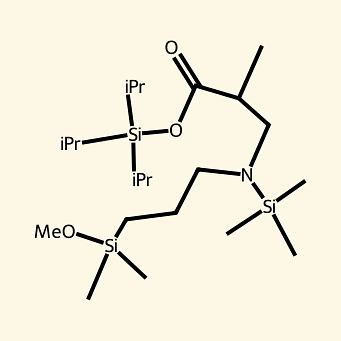 CO[Si](C)(C)CCCN(CC(C)C(=O)O[Si](C(C)C)(C(C)C)C(C)C)[Si](C)(C)C